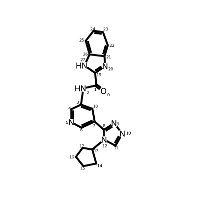 O=C(Nc1cncc(-c2nncn2C2CCCC2)c1)c1nc2ccccc2[nH]1